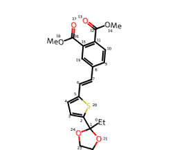 CCC1(c2ccc(C=Cc3ccc(C(=O)OC)c(C(=O)OC)c3)s2)OCCO1